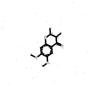 COc1cc2c(cc1OC)C(=O)C(C)C(C)O2